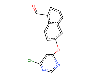 O=[C]c1cccc2cc(Oc3cc(Cl)ncn3)ccc12